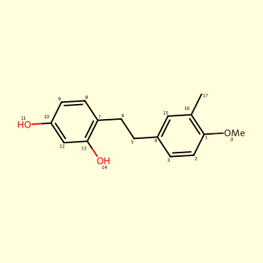 COc1ccc(CCc2ccc(O)cc2O)cc1C